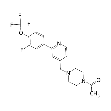 CC(=O)N1CCN(Cc2ccnc(-c3ccc(OC(F)(F)F)c(F)c3)c2)CC1